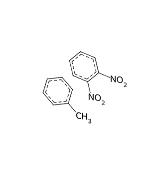 Cc1ccccc1.O=[N+]([O-])c1ccccc1[N+](=O)[O-]